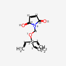 C=C[Si](C=C)(C=C)OCN1C(=O)C=CC1=O